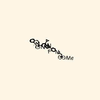 COC(=O)CC1CN(c2ccc(-c3cc4nc(C(=O)N5CCc6ccccc6[C@H]5C)cc(C5CC5)n4n3)c(F)c2)C1